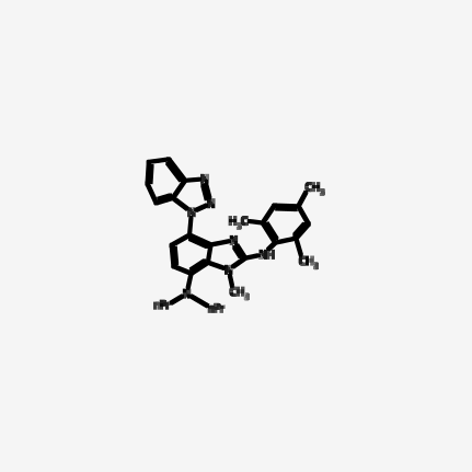 CCCN(CCC)c1ccc(-n2nnc3ccccc32)c2nc(Nc3c(C)cc(C)cc3C)n(C)c12